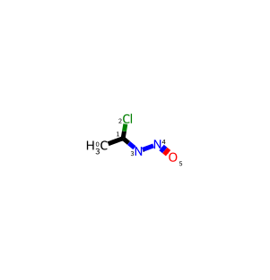 CC(Cl)[N]N=O